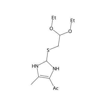 CCOC(CSC1NC(C)=C(C(C)=O)N1)OCC